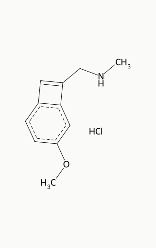 CNCC1=Cc2ccc(OC)cc21.Cl